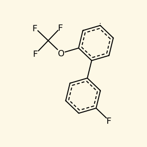 Fc1cccc(-c2cc[c]cc2OC(F)(F)F)c1